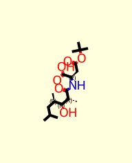 CC(C)C[C@@H](C)[C@@H](O)[C@@H](C)C(=O)N[C@H](CC(=O)OC(C)(C)C)C(=O)O